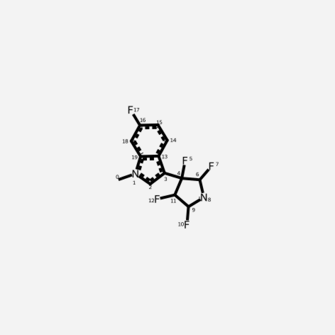 Cn1cc(C2(F)C(F)[N]C(F)C2F)c2ccc(F)cc21